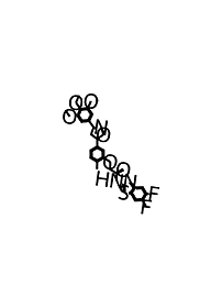 COc1cc(C2=NOC(c3ccc(C)c(OCC(=O)Nc4nc5cc(F)c(F)cc5s4)c3)C2)cc(OC)c1OC